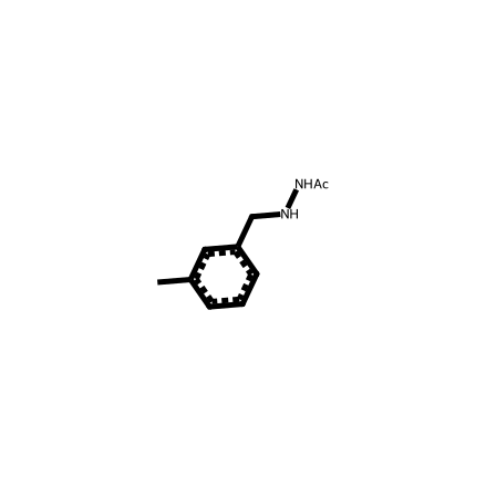 CC(=O)NNCc1cccc(C)c1